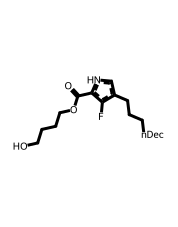 CCCCCCCCCCCCCc1c[nH]c(C(=O)OCCCCO)c1F